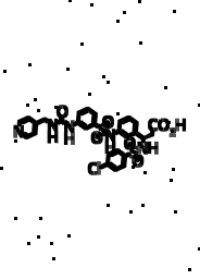 O=C(O)C[C@@H](NS(=O)(=O)c1ccc(Cl)cc1)c1cccc(NS(=O)(=O)c2cccc(NC(=O)NCc3ccncc3)c2)c1